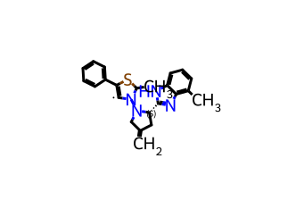 C=C1C[C@@H](c2nc3c(C)cccc3[nH]2)N(N2[C]=C(c3ccccc3)SC2C)C1